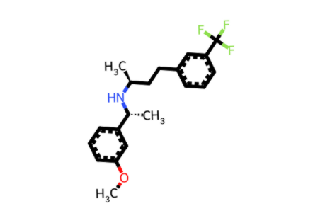 COc1cccc([C@@H](C)N[C@@H](C)CCc2cccc(C(F)(F)F)c2)c1